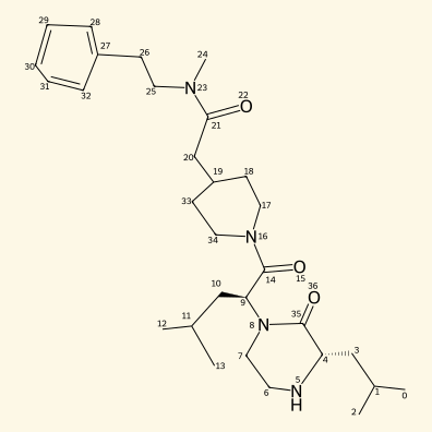 CC(C)C[C@@H]1NCCN([C@@H](CC(C)C)C(=O)N2CCC(CC(=O)N(C)CCc3ccccc3)CC2)C1=O